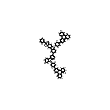 c1ccc(-c2nc3cc4c(cc3o2)c2cc(-c3ccc5c(c3)c3ccccc3n5-c3ccc(-c5ccc6c7ccccc7c7ccccc7c6c5)cc3)ccc2n4-c2ccc(-c3ccc4c5ccccc5c5ccccc5c4c3)cc2)cc1